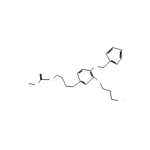 CCOC(=O)[C@H](C[C@H](Cc1ccc(OCc2ccccc2)c(OCCCOC)c1)C(C)C)NC(=O)OC(C)(C)C